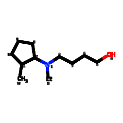 CCN(CCCCO)C1CCCC1C